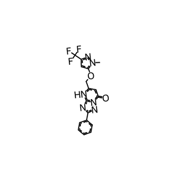 Cn1nc(C(F)(F)F)cc1OCc1cc(=O)n2nc(-c3ccccc3)nc2[nH]1